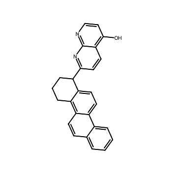 Oc1ccnc2nc(C3CCCc4c3ccc3c4ccc4ccccc43)ccc12